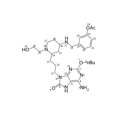 CCCCOc1nc(N)c2[nH]c(=O)n(CCCC3CC(NCc4cccc(OC(C)=O)c4)CCN3CCO)c2n1